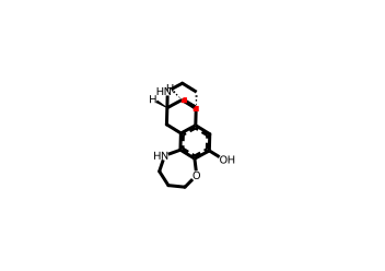 Oc1cc2c(c3c1OCCCN3)C[C@@H]1NCC[C@]23CCCC[C@H]13